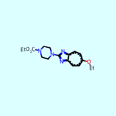 CCOC(=O)N1CCN(c2nc3ccc(OCC)ccc-3n2)CC1